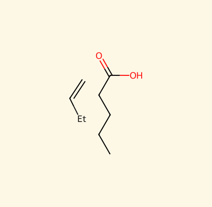 C=CCC.CCCCC(=O)O